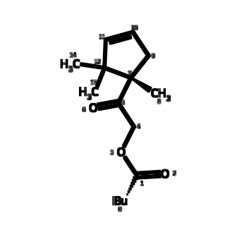 CC[C@@H](C)C(=O)OCC(=O)[C@@]1(C)CC=CC1(C)C